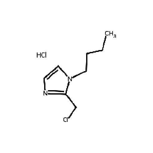 CCCCn1ccnc1CCl.Cl